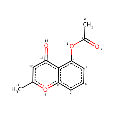 CC(=O)Oc1cccc2oc(C)cc(=O)c12